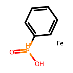 O=[PH](O)c1ccccc1.[Fe]